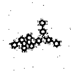 c1ccc(-c2ccc(N(c3ccc(-c4ccccc4)cc3)c3ccc(-c4cccc5c4-c4ccccc4C54c5ccccc5-c5c(-c6ccccc6)cccc54)cc3)cc2)cc1